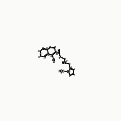 Cn1cccc1CNCCNc1ccc2ccccc2c1Cl